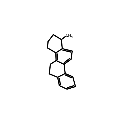 CC1CCCc2c1ccc1c2CCc2ccccc2-1